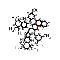 Cc1cc(C)cc(N2c3cc(C)cc4c3B(c3cc5c(cc3N4c3ccc(C(C)(C)C)cc3-c3ccc4ccccc4c3)C(C)(C)CCC5(C)C)c3oc4cc5c(cc4c32)C(C)(C)CCC5(C)C)c1